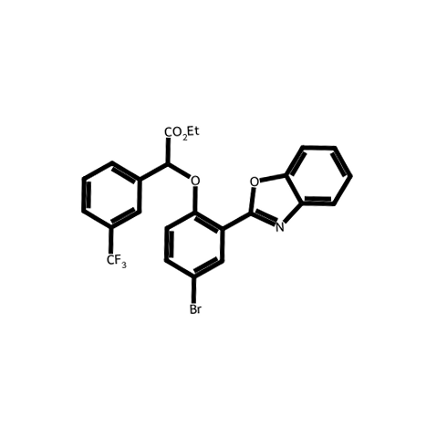 CCOC(=O)C(Oc1ccc(Br)cc1-c1nc2ccccc2o1)c1cccc(C(F)(F)F)c1